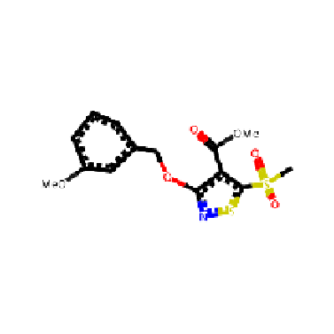 COC(=O)c1c(OCc2cccc(OC)c2)nsc1S(C)(=O)=O